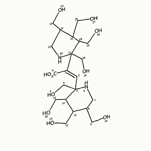 O=C(O)C(=CC1(CO)NCC(CO)C(CO)C1CO)C1(CO)NCC(CO)C(CO)C1CO